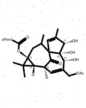 CCCCCC(=O)O[C@@]12CC(C)C34C=C(C)[C@H](O)[C@@]3(O)[C@H](O)C(COC(C)=O)=C[C@H](C4=O)[C@@H]1C2(C)C